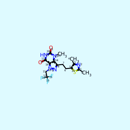 Cc1nc(C)c(CCc2nn(CC(F)(F)F)c3c(=O)[nH]c(=O)n(C)c23)s1